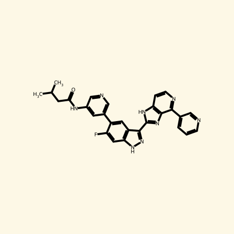 CC(C)CC(=O)Nc1cncc(-c2cc3c(-c4nc5c(-c6cccnc6)nccc5[nH]4)n[nH]c3cc2F)c1